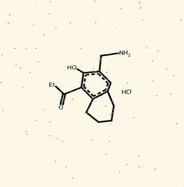 CCC(=O)c1c(O)c(CN)cc2c1CCCC2.Cl